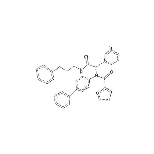 O=C(NCCCc1ccccc1)C(c1cccnc1)N(C(=O)c1ccco1)c1ccc(-c2ccccc2)cc1